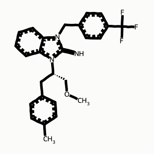 COC[C@H](Cc1ccc(C)cc1)n1c(=N)n(Cc2ccc(C(F)(F)F)cc2)c2ccccc21